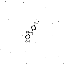 CCOc1ccc(C(=O)Nc2ccc(O)cc2)cc1